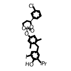 Cc1cc(OP2(=O)OCC[C@@H](c3cccc(Cl)c3)O2)cc(C)c1Cc1cc(I)c(O)c(C(C)C)c1